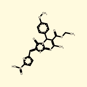 CCOC(=O)C1=C(C)N=c2s/c(=C\c3ccc([N+](=O)O)o3)c(=O)n2C1c1ccc(OC)cc1